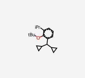 CC(C)c1cccc(C(C2CC2)C2CC2)c1OC(C)(C)C